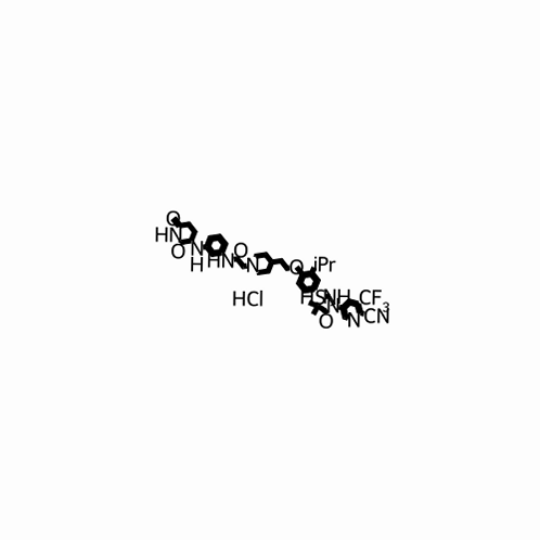 CC(C)c1cc([SH]2NN(c3cnc(C#N)c(C(F)(F)F)c3)C(=O)C2(C)C)ccc1OCCC1CCN(CC(=O)Nc2cccc(NC3CCC(=O)NC3=O)c2)CC1.Cl